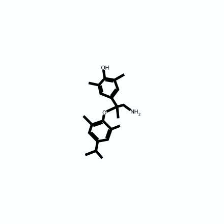 Cc1cc(C(C)(CN)Oc2c(C)cc(C(C)C)cc2C)cc(C)c1O